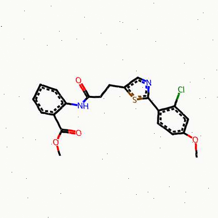 COC(=O)c1ccccc1NC(=O)CCc1cnc(-c2ccc(OC)cc2Cl)s1